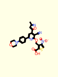 Cc1cc(-c2cc(-c3ccc(N4CCOCC4)cc3)nc(OCc3c([N+](=O)[O-])csc3C(=O)O)c2C#N)on1